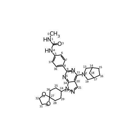 CNC(=O)Nc1ccc(-c2nc(N3CC4CCC(C4)C3)c3cnn(C4CCC5(CC4)OCCO5)c3n2)cc1